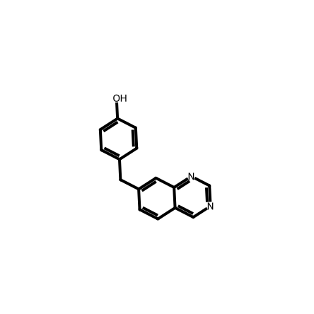 Oc1ccc(Cc2ccc3cncnc3c2)cc1